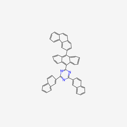 c1ccc2cc(-c3nc(-c4ccc5ccccc5c4)nc(-c4c5ccccc5c(-c5ccc6ccc7ccccc7c6c5)c5ccccc45)n3)ccc2c1